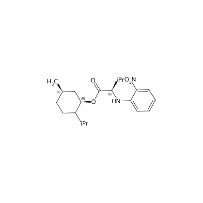 CC(C)C1CC[C@@H](C)C[C@H]1OC(=O)[C@H](Nc1ccccc1[N+](=O)[O-])C(C)C